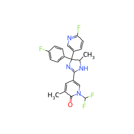 Cc1cc(C2=NC(c3ccc(F)cc3)(c3ccc(F)nc3)C(C)N2)cn(C(F)F)c1=O